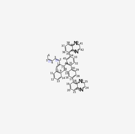 C=C(/C=C\C=C/C)c1c(-c2ccccc2)c2cc(-c3cccc4nccnc34)ccc2c2ccc(-c3cccc4nccnc34)cc12